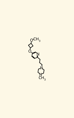 COC1CC(Oc2ccc(CCCN3CCN(C)CC3)nc2)C1